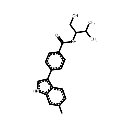 CC(C)C(CO)NC(=O)c1ccc(-c2c[nH]c3cc(F)ccc23)cc1